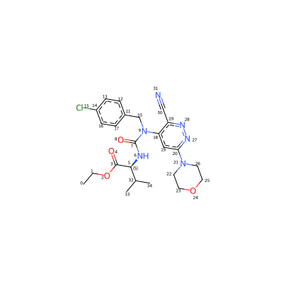 CCOC(=O)[C@@H](NC(=O)N(Cc1ccc(Cl)cc1)c1cc(N2CCOCC2)nnc1C#N)C(C)C